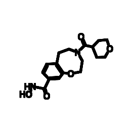 O=C(NO)c1ccc2c(c1)OCCN(C(=O)C1CCOCC1)CC2